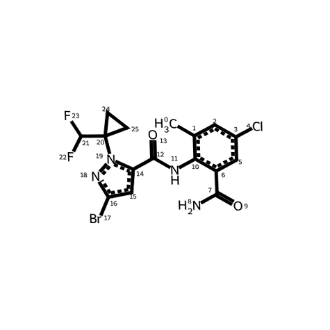 Cc1cc(Cl)cc(C(N)=O)c1NC(=O)c1cc(Br)nn1C1(C(F)F)CC1